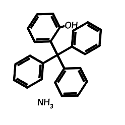 N.Oc1ccccc1C(c1ccccc1)(c1ccccc1)c1ccccc1